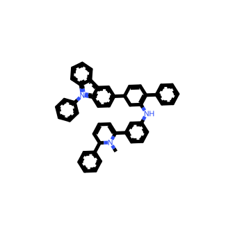 CN1C(c2cccc(NC3=C(c4ccccc4)C=CC(c4ccc5c(c4)c4ccccc4n5-c4ccccc4)C3)c2)=CC=CC1c1ccccc1